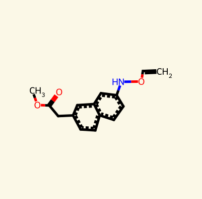 C=CONc1ccc2ccc(CC(=O)OC)cc2c1